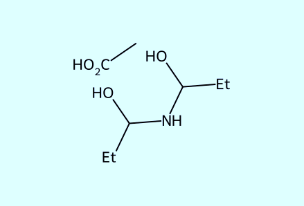 CC(=O)O.CCC(O)NC(O)CC